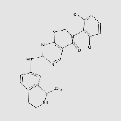 CC1NCCc2ccc(Nc3ncc4c(n3)SCN(c3c(Cl)cccc3Cl)C4=O)cc21